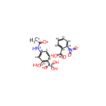 CC(=O)Nc1ccc([As](=O)(O)O)c(O)c1.O=C(O)c1ccccc1[N+](=O)[O-]